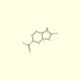 CC(=S)c1ccc2[nH]c(C)cc2c1